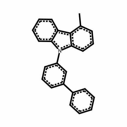 Cc1cccc2c1c1ccccc1n2-c1cccc(-c2ccccc2)c1